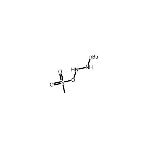 CCCCNNOS(C)(=O)=O